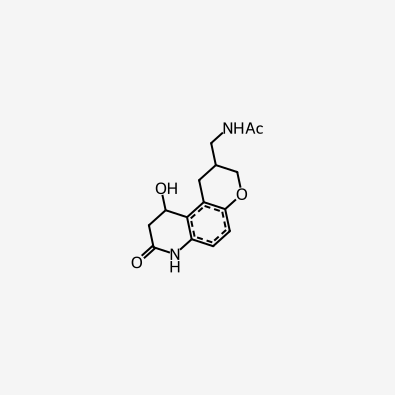 CC(=O)NCC1COc2ccc3c(c2C1)C(O)CC(=O)N3